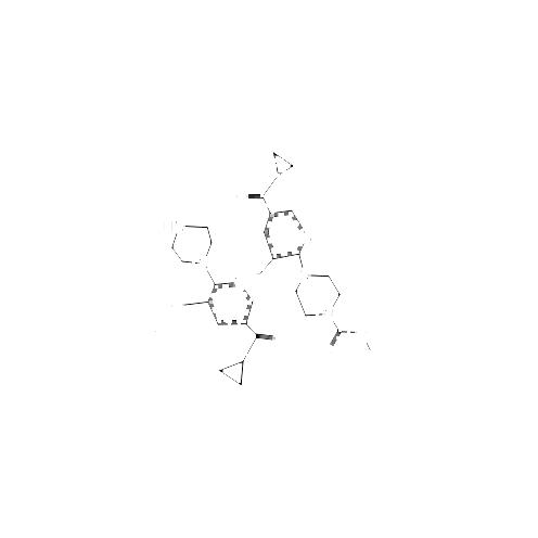 CC(C)(C)OC(=O)N1CCN(c2ncc(C(=O)C3CC3)cc2Cl)CC1.Cl.Cl.O=C(c1cnc(N2CCNCC2)c(Cl)c1)C1CC1